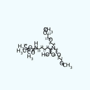 COCCOCCN(CCOCCOC)C(CCCCNC(=O)OC(C)(C)C)C(=O)O